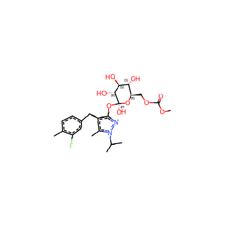 COC(=O)OC[C@H]1O[C@@](O)(Oc2nn(C(C)C)c(C)c2Cc2ccc(C)c(F)c2)[C@H](O)[C@@H](O)[C@@H]1O